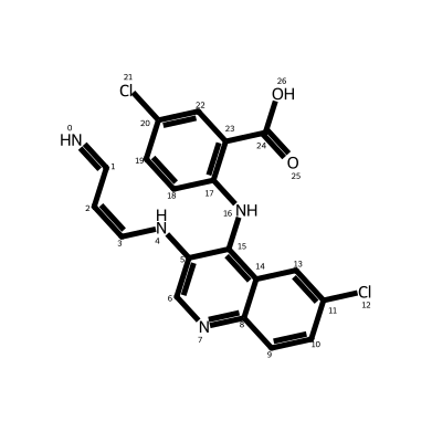 N=C/C=C\Nc1cnc2ccc(Cl)cc2c1Nc1ccc(Cl)cc1C(=O)O